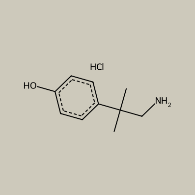 CC(C)(CN)c1ccc(O)cc1.Cl